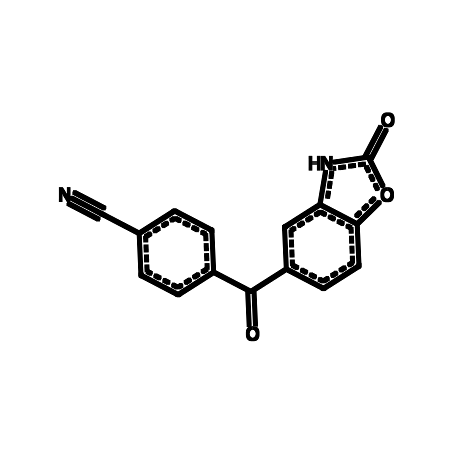 N#Cc1ccc(C(=O)c2ccc3oc(=O)[nH]c3c2)cc1